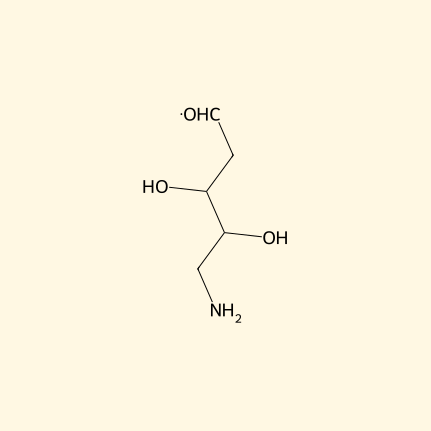 NCC(O)C(O)C[C]=O